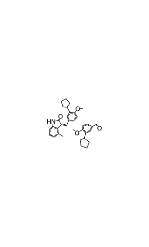 COc1ccc(C=C2C(=O)Nc3cccc(C)c32)cc1C1CCCC1.COc1ccc(C=O)cc1C1CCCC1